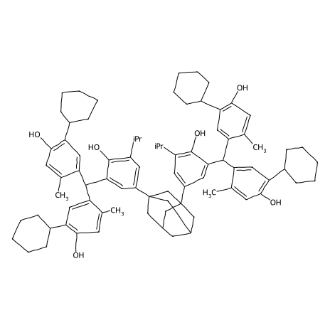 Cc1cc(O)c(C2CCCCC2)cc1C(c1cc(C2CCCCC2)c(O)cc1C)c1cc(C23CC4CC(C2)CC(c2cc(C(C)C)c(O)c(C(c5cc(C6CCCCC6)c(O)cc5C)c5cc(C6CCCCC6)c(O)cc5C)c2)(C4)C3)cc(C(C)C)c1O